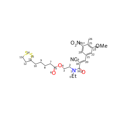 CCN(CCOC(=O)CCCCC1CCSS1)C(=O)/C(C#N)=C/c1cc(OC)c(C)c([N+](=O)[O-])c1